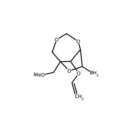 BC1OC2(COC)COCOC1C2OC=C